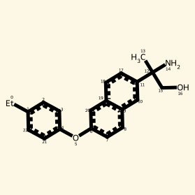 CCc1ccc(Oc2ccc3cc(C(C)(N)CO)ccc3c2)cc1